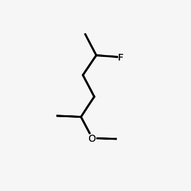 COC(C)CCC(C)F